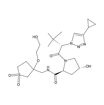 CC(C)(C)[C@@H](C(=O)N1C[C@H](O)C[C@H]1C(=O)NCC1(OCCO)CCS(=O)(=O)C1)n1cc(C2CC2)nn1